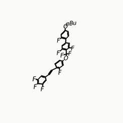 CCCCOc1ccc(-c2cc(F)c(C(F)(F)Oc3ccc(C#Cc4cc(F)c(F)c(F)c4)c(F)c3)c(F)c2)c(F)c1